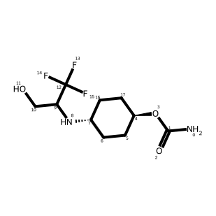 NC(=O)O[C@H]1CC[C@H](NC(CO)C(F)(F)F)CC1